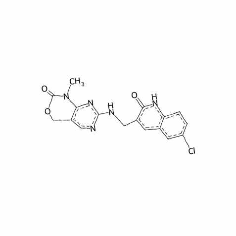 CN1C(=O)OCc2cnc(NCc3cc4cc(Cl)ccc4[nH]c3=O)nc21